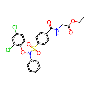 CCOC(=O)CNC(=O)c1ccc(S(=O)(=O)N(Oc2ccc(Cl)cc2Cl)c2ccccc2)cc1